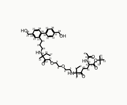 CCC(C)(NCCOCCOCC(=O)C(C)(CC)NCCCc1cc(CO)ccc1-c1ccc(CO)cc1)C(=O)CCC(NC(C)=O)C(=O)OC(C)(C)C